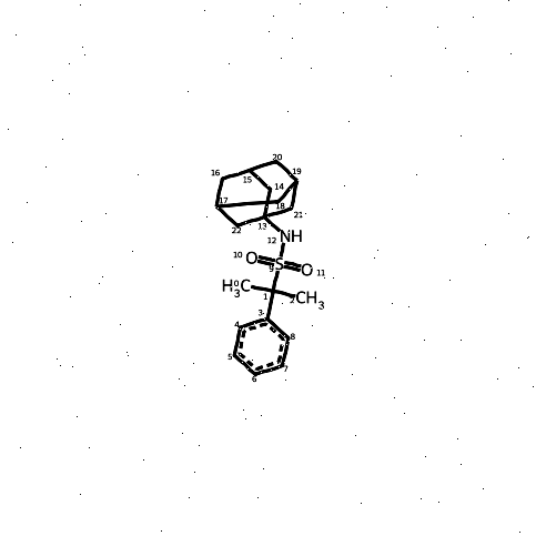 CC(C)(c1ccccc1)S(=O)(=O)NC12CC3CC(CC(C3)C1)C2